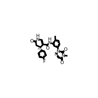 Cc1ccc(-n2ncc(=O)n(C)c2=O)cc1NC(=O)C1=CNC(=O)C[C@H]1c1ccc(F)cc1